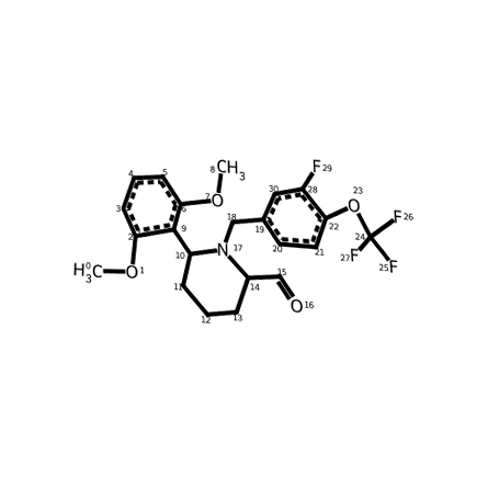 COc1cccc(OC)c1C1CCCC(C=O)N1Cc1ccc(OC(F)(F)F)c(F)c1